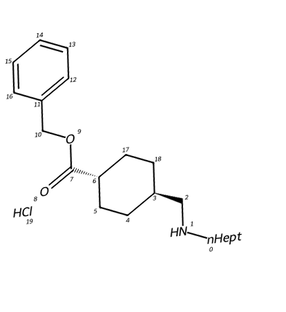 CCCCCCCNC[C@H]1CC[C@H](C(=O)OCc2ccccc2)CC1.Cl